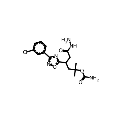 CC(C)(CC(CC(=O)NN)c1nc(-c2cccc(Cl)c2)no1)OC(N)=O